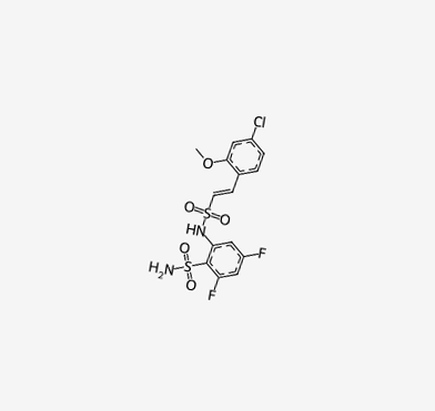 COc1cc(Cl)ccc1C=CS(=O)(=O)Nc1cc(F)cc(F)c1S(N)(=O)=O